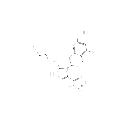 Cl.NCCSSC1NC=C(c2nnn[nH]2)N1C1CCc2c(F)cc(F)cc2C1